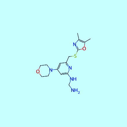 Cc1nc(SCc2cc(N3CCOCC3)cc(NCN)n2)oc1C